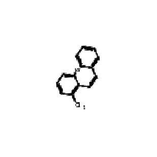 Cc1cccc(Br)c1/C=C\c1ccccc1